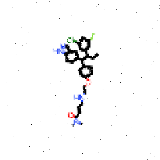 CCC(=C(c1ccc(OCCNCC=CC(=O)N(C)C)cc1)c1ccc2[nH]ncc2c1)c1cc(F)cc(Cl)c1